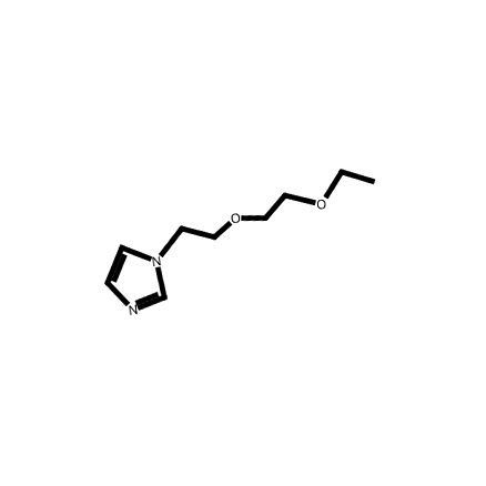 CCOCCOCCn1ccnc1